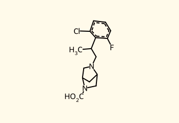 CC(CN1CC2CC1CN2C(=O)O)c1c(F)cccc1Cl